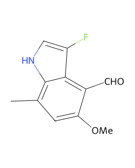 COc1cc(C)c2[nH]cc(F)c2c1C=O